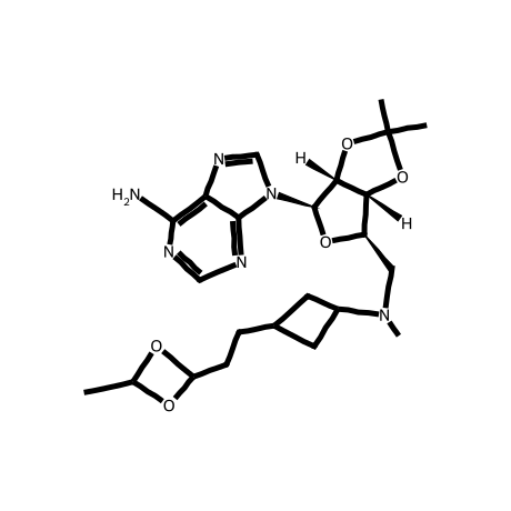 CC1OC(CCC2CC(N(C)C[C@H]3O[C@@H](n4cnc5c(N)ncnc54)[C@@H]4OC(C)(C)O[C@@H]43)C2)O1